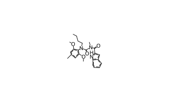 CCCCN(C(=O)N(C)C(=O)c1cc2ccccc2[nH]1)c1c(OC)cc(C)cc1OC